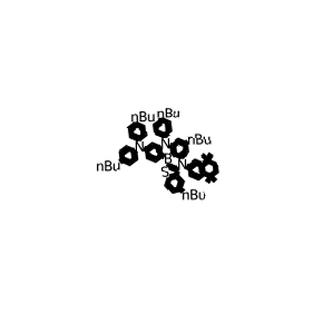 CCCCc1ccc(N(c2ccc(CCCC)cc2)c2ccc3c(c2)N(c2ccc(CCCC)cc2)c2cc(CCCC)cc4c2B3c2sc3ccc(CCCC)cc3c2N4c2ccc3c(c2)C(C)(C)CCC3(C)C)cc1